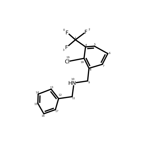 FC(F)(F)c1cccc(CNCc2ccccc2)c1Cl